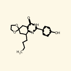 CCCCC1CC2(Cc3c1nc(-c1ccc(O)cc1)[nH]c3=O)OCCO2